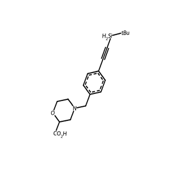 CC(C)(C)[SiH2]C#Cc1ccc(CN2CCOC(C(=O)O)C2)cc1